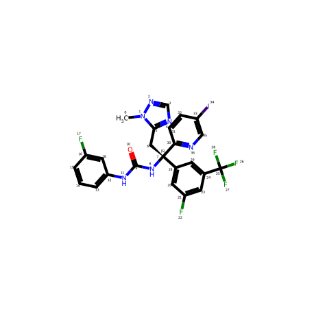 Cn1ncnc1C[C@](NC(=O)Nc1cccc(F)c1)(c1cc(F)cc(C(F)(F)F)c1)c1ccc(I)cn1